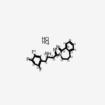 Cl.Cl.N[C@H](Cc1cc(F)c(F)cc1F)Cc1nnc2n1CCCc1ccccc1-2